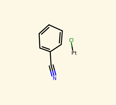 N#Cc1ccccc1.[Cl][Pt]